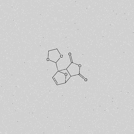 O=C1OC(=O)C2C1C1C=CC2(C2OCCO2)O1